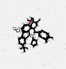 Cc1ccc([C](c2ccc(C)c(C)c2)=[Zr+2]([C]2=CC=CC2)[CH]2c3cc(C(C)(C)C)ccc3-c3ccc(C(C)(C)C)cc32)cc1C.[Cl-].[Cl-]